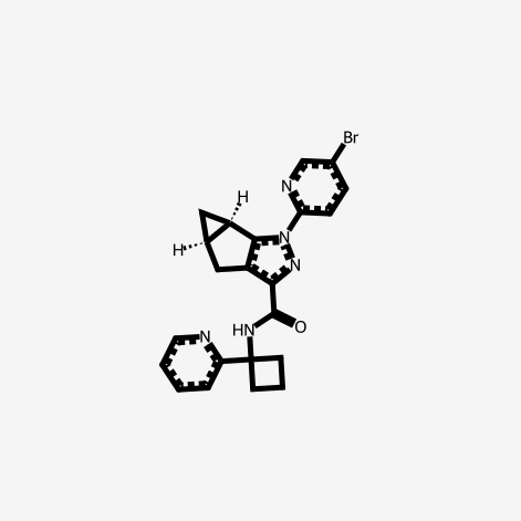 O=C(NC1(c2ccccn2)CCC1)c1nn(-c2ccc(Br)cn2)c2c1C[C@H]1C[C@@H]21